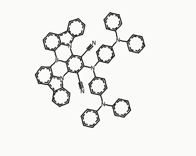 N#Cc1c(N(c2ccc(N(c3ccccc3)c3ccccc3)cc2)c2ccc(N(c3ccccc3)c3ccccc3)cc2)c(C#N)c2c3c1-n1c4ccccc4c4cccc(c41)B3c1cccc3c4ccccc4n-2c13